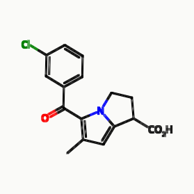 Cc1cc2n(c1C(=O)c1cccc(Cl)c1)CCC2C(=O)O